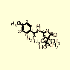 Cc1ccc([C@H](C)NC2=NC(=O)C(C)(C(C)(C)O)S2)cc1